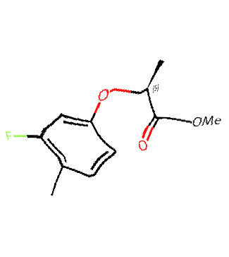 COC(=O)[C@H](C)Oc1ccc(C)c(F)c1